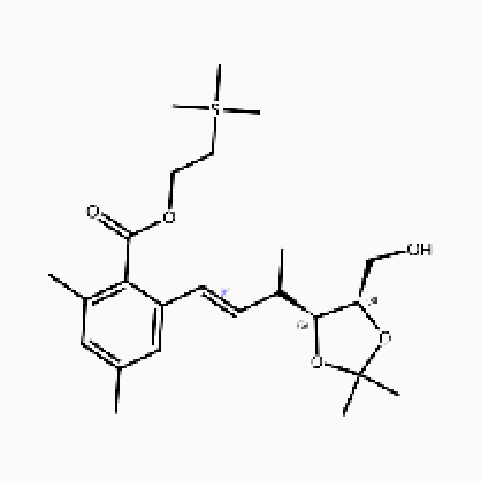 Cc1cc(C)c(C(=O)OCC[Si](C)(C)C)c(/C=C/C(C)[C@@H]2OC(C)(C)O[C@@H]2CO)c1